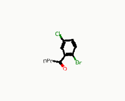 CCCC(=O)c1cc(Cl)ccc1Br